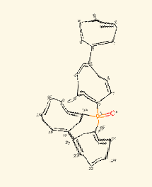 O=P1(c2ccc(-c3ccccc3)cc2)c2ccccc2-c2ccccc21